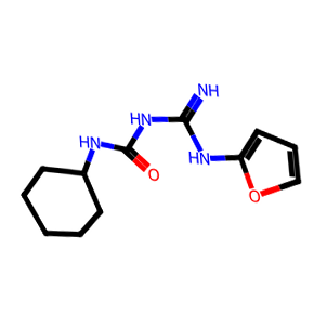 N=C(NC(=O)NC1CCCCC1)Nc1ccco1